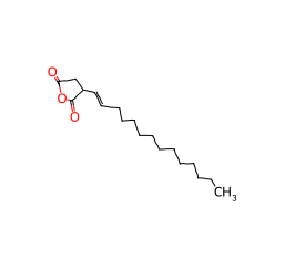 CCCCCCCCCCCC/C=C/C1CC(=O)OC1=O